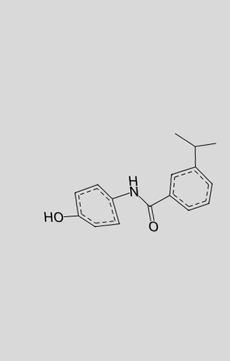 CC(C)c1cccc(C(=O)Nc2ccc(O)cc2)c1